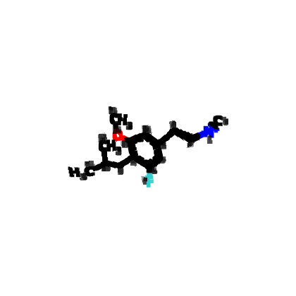 [C-]#[N+]CCc1cc(F)c(CC(C)C)c(OC)c1